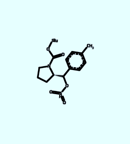 Cc1ccc(C(O[SH](=O)=O)[C@@H]2CCCN2C(=O)OC(C)(C)C)cc1